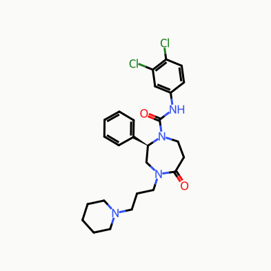 O=C1CCN(C(=O)Nc2ccc(Cl)c(Cl)c2)[C@H](c2ccccc2)CN1CCCN1CCCCC1